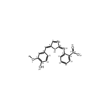 COc1cc(C=C2C=NC(=Nc3ccccc3[N+](=O)[O-])S2)ccc1O